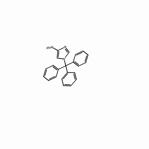 CNc1cn(C(c2ccccc2)(c2ccccc2)c2ccccc2)cn1